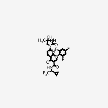 CC1(C)CN(c2ccc3c(=O)c(C(=O)N[C@@H](C4CC4)C(F)(F)F)cn(-c4c(F)cc(F)cc4F)c3n2)C(=O)N1